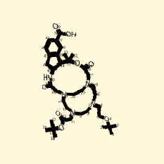 CC(C)(C)OCCN1CCN(CC(=O)OC(C)(C)C)CCN2CCN(CC1)CC(=O)OC(C)(C)C1c3cc(C(=O)O)ccc3CC1NC(=O)C2